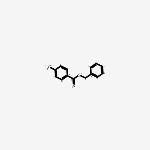 FC(F)(F)c1ccc(C(=S)SCc2ccccc2)cc1